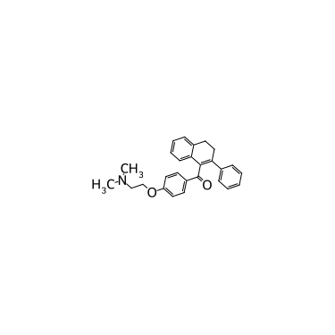 CN(C)CCOc1ccc(C(=O)C2=C(c3ccccc3)CCc3ccccc32)cc1